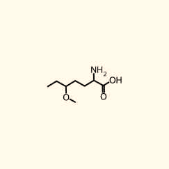 CCC(CCC(N)C(=O)O)OC